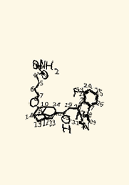 NS(=O)(=O)CCCCOC1C2CC3CC1CC(C(O)CC1c4c(F)cccc4-c4cncn41)(C3)C2